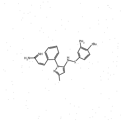 Cc1cc(NSc2ccc(C(C)(C)C)c(P)c2)n(-c2ccccc2/C=C\C(=N)N)n1